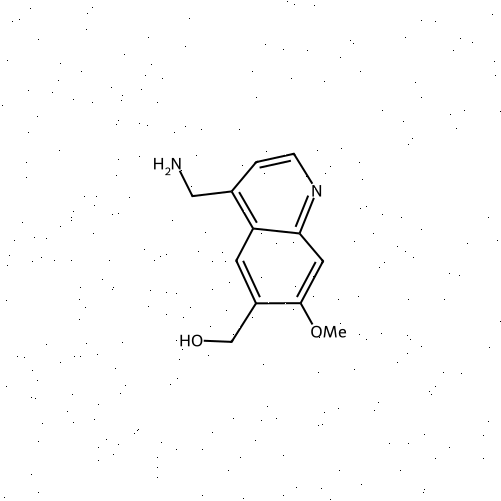 COc1cc2nccc(CN)c2cc1CO